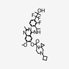 COc1cc2nc(C)nc(NC(C)c3cccc(C(F)(F)C(C)(C)O)c3F)c2cc1OC(=O)N1CCN(C2CCC2)CC12CC2